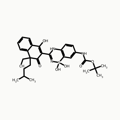 CCC1(CCC(C)C)C(=O)C(C2=NS(O)(O)c3cc(NC(=O)OC(C)(C)C)ccc3N2)=C(O)c2ccccc21